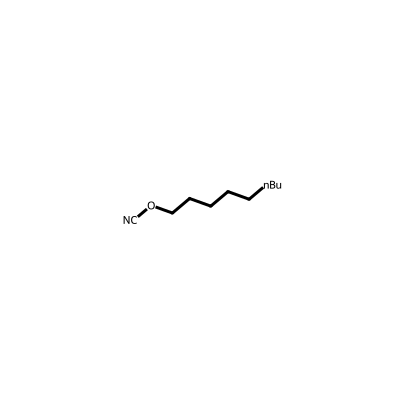 CCCCCCCCCOC#N